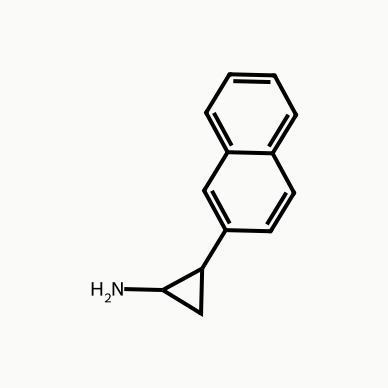 NC1CC1c1ccc2ccccc2c1